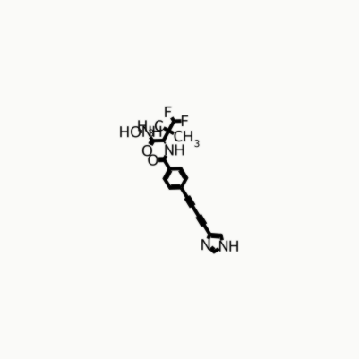 CC(C)(C(F)F)[C@H](NC(=O)c1ccc(C#CC#Cc2c[nH]cn2)cc1)C(=O)NO